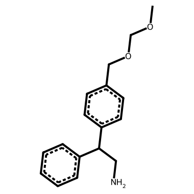 COCOCc1ccc(C(CN)c2ccccc2)cc1